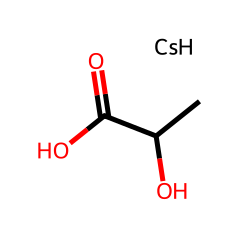 CC(O)C(=O)O.[CsH]